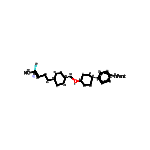 CCCCCc1ccc([C@H]2CC[C@H](OC[C@H]3CC[C@H](CC/C=C(\F)C#N)CC3)CC2)cc1